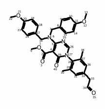 COC(=O)c1c(N(Cc2ccc(OC)cc2)Cc2ccc(OC)cc2)ncn(-c2c(C)cc(CC=O)cc2C)c1=O